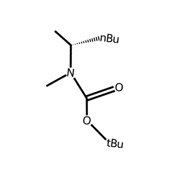 CCCC[C@@H](C)N(C)C(=O)OC(C)(C)C